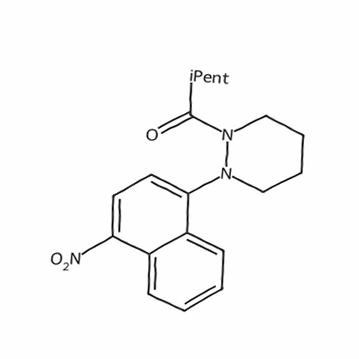 CCCC(C)C(=O)N1CCCCN1c1ccc([N+](=O)[O-])c2ccccc12